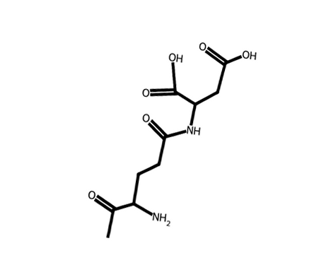 CC(=O)C(N)CCC(=O)NC(CC(=O)O)C(=O)O